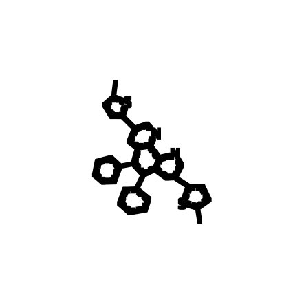 Cc1ccc(-c2cnc3c(c2)c(-c2ccccc2)c(-c2ccccc2)c2cc(-c4ccc(C)s4)cnc23)s1